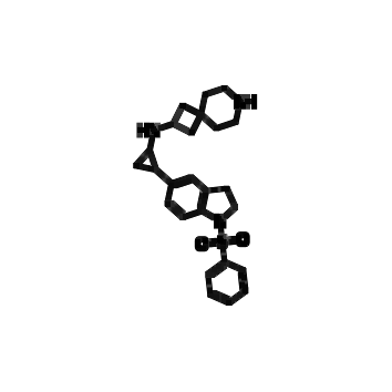 O=S(=O)(c1ccccc1)N1CCc2cc(C3CC3NC3CC4(CCNCC4)C3)ccc21